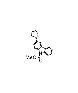 COC(=O)n1c2ccccc2c2cc([S+]3CCCC3)ccc21